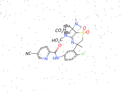 CN1C[C@]2(C(N(C(=O)O)C(=O)O)=NC(C)(c3cc(NC(=O)c4ccc(C#N)cn4)ccc3F)CS2(=O)=O)C1(C(C)(C)C)C(C)(C)C